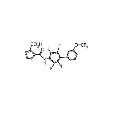 O=C(Nc1c(F)c(I)c(-c2cccc(OC(F)(F)F)c2)c(F)c1I)c1ccsc1C(=O)O